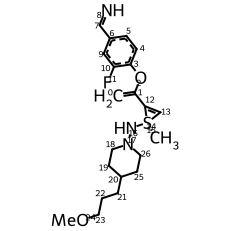 C=C(Oc1ccc(C=N)cc1F)C1=CS1(C)NN1CCC(CCCOC)CC1